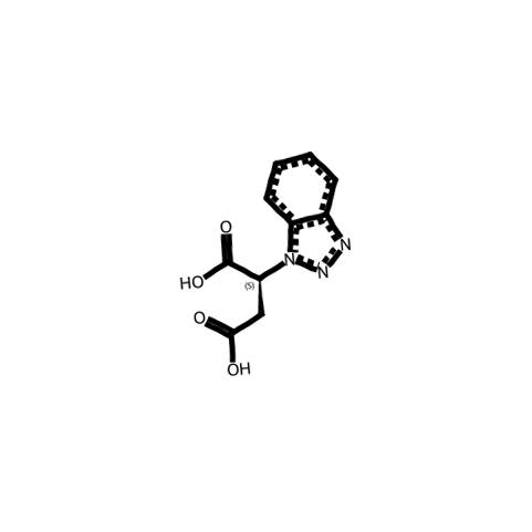 O=C(O)C[C@@H](C(=O)O)n1nnc2ccccc21